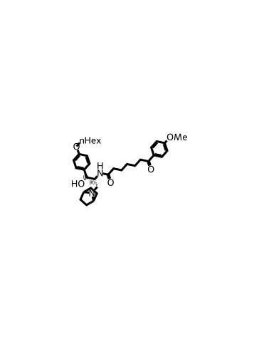 CCCCCCOc1ccc([C@@H](O)[C@@H](CN2C3CCC2CC3)NC(=O)CCCCCC(=O)c2ccc(OC)cc2)cc1